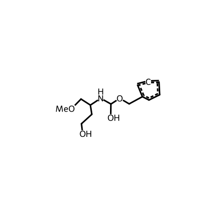 COCC(CCO)NC(O)OCc1ccccc1